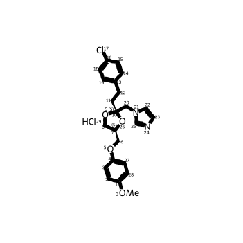 COc1ccc(OC[C@H]2CO[C@](CCc3ccc(Cl)cc3)(Cn3ccnc3)O2)cc1.Cl